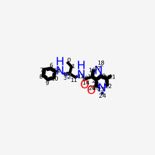 CC/C(=C\Nc1ccccc1)CNC(=O)c1cn(C)c2c(C)cn(C)c(=O)c12